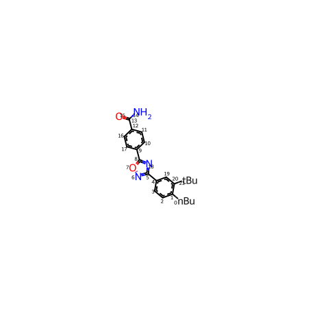 CCCCc1ccc(-c2noc(-c3ccc(C(N)=O)cc3)n2)cc1C(C)(C)C